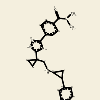 CN(C)C(=O)c1ccc(-c2nc(C3(CN[C@H]4CC4c4ccccc4)CC3)no2)cc1